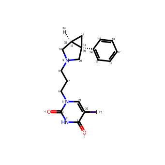 O=c1[nH]c(=O)n(CCCN2C[C@H]3C[C@@]3(c3ccccc3)C2)cc1I